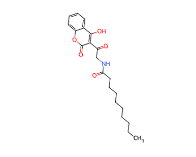 CCCCCCCCCC(=O)NCC(=O)c1c(O)c2ccccc2oc1=O